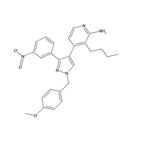 CCCCc1c(-c2cn(Cc3ccc(OC)cc3)nc2-c2cccc([N+](=O)[O-])c2)ccnc1N